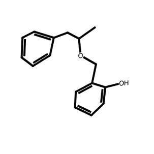 CC(Cc1ccccc1)OCc1ccccc1O